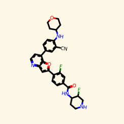 N#Cc1cc(-c2ccnc3cc(-c4ccc(C(=O)NC5CCNCC5F)cc4F)oc23)ccc1NC1CCOCC1